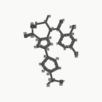 CC(C)N(C(=O)c1ccc(Cl)cc1Cl)c1cc(-c2ccc([S+](C)[O-])cc2)sc1C(=O)O